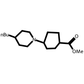 CCCCC1CCN(C2CCC(C(=O)OC)CC2)CC1